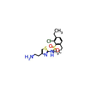 CCc1ccc(CC)c(S(=O)(=O)Nc2nc(CCN)cs2)c1Cl